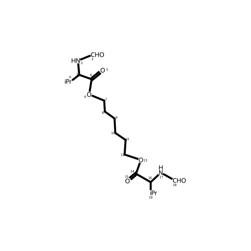 CC(C)C(NC=O)C(=O)OCCCCCCOC(=O)C(NC=O)C(C)C